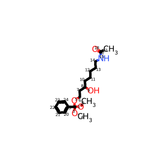 COC(OC)(OCCC(O)CCCCCNC(C)=O)c1ccccc1